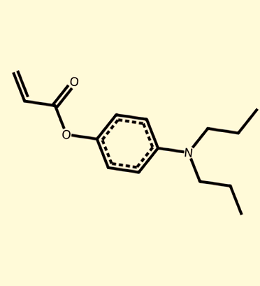 C=CC(=O)Oc1ccc(N(CCC)CCC)cc1